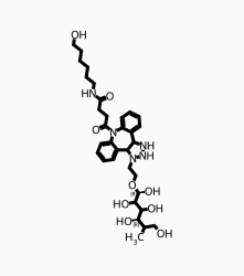 CC(CO)[C@@H](O)C(O)C(O)[C@H](O)OCCN1NNC2c3ccccc3N(C(=O)CCC(=O)NCCCCCCO)c3ccccc3C21